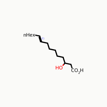 CCCCCC/C=C/CCCCCC(O)CC(=O)O